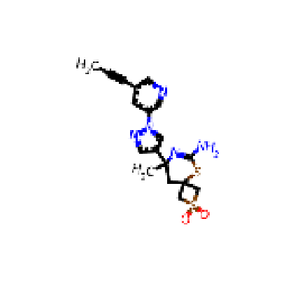 CC#Cc1cncc(-n2cc(C3(C)CC4(CS(=O)(=O)C4)SC(N)=N3)cn2)c1